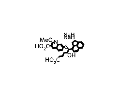 COc1nc2cc(SC(c3ccc4cccc5c4c3CC5)C(O)CCCC(=O)O)ccc2cc1C(=O)O.[NaH].[NaH]